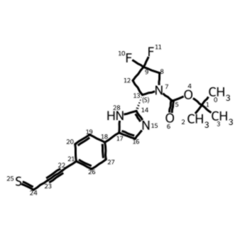 CC(C)(C)OC(=O)N1CC(F)(F)C[C@H]1c1ncc(-c2ccc(C#CC=S)cc2)[nH]1